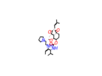 C/C=C(/NCCN1CCCC1)[C@H](NC(=O)O[C@@H]1CC[C@]2(CO2)[C@@H]([C@@]2(C)O[C@@H]2CC=C(C)C)[C@@H]1OC)C(C)C